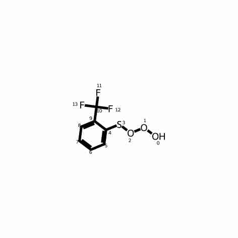 OOOSc1ccccc1C(F)(F)F